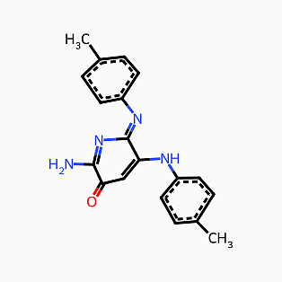 Cc1ccc(N=C2N=C(N)C(=O)C=C2Nc2ccc(C)cc2)cc1